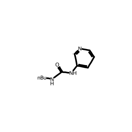 CCCCNC(=O)Nc1[c]nccc1